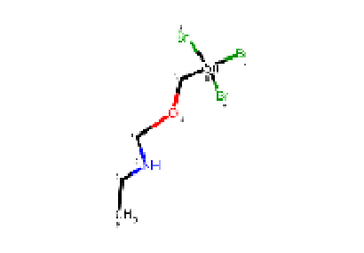 CCNCO[CH2][Sn]([Br])([Br])[Br]